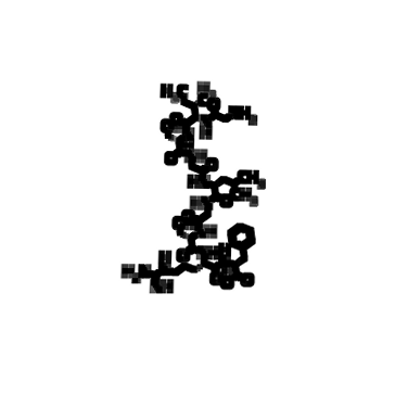 CC[C@H](C)[C@H](NC(=O)CN)C(=O)N[C@@H](CO)C(=O)NCC(=O)N[C@@H](CC(C)C)C(=O)NCC(=O)N[C@@H](CO)C(=O)N[C@@H](CCCNC(=N)N)C(=O)N[C@@H](Cc1ccccc1)C(=O)O